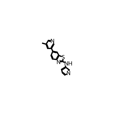 Cc1cncc(-c2ccc3nc(Nc4cccnc4)sc3c2)c1